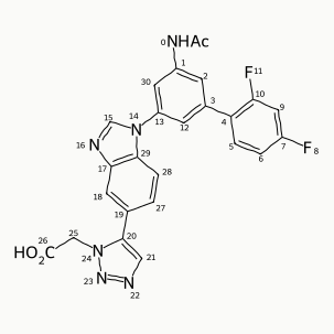 CC(=O)Nc1cc(-c2ccc(F)cc2F)cc(-n2cnc3cc(-c4cnnn4CC(=O)O)ccc32)c1